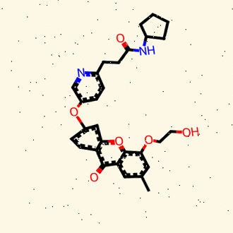 Cc1cc(OCCO)c2oc3cc(Oc4ccc(CCC(=O)NC5CCCC5)nc4)ccc3c(=O)c2c1